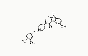 COc1ccc(CCN2CCC(N(C)C(=O)c3c(C)[nH]c4ccc(O)cc34)CC2)cc1OC